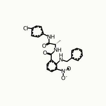 C[C@H](NC(=O)c1cccc([N+](=O)[O-])c1NCc1ccccc1)C(=O)Nc1ccc(Cl)cc1